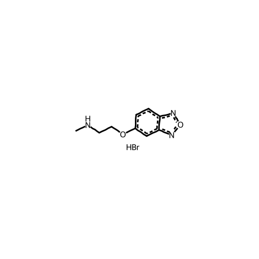 Br.CNCCOc1ccc2nonc2c1